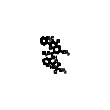 Cc1cc([C@@H](C)Nc2cccnc2C(=O)NS(N)(=O)=O)c2oc(-c3ccccc3)c(C)c(=O)c2c1